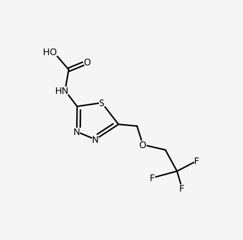 O=C(O)Nc1nnc(COCC(F)(F)F)s1